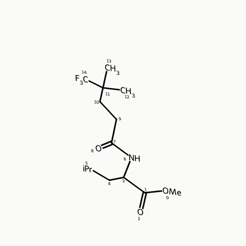 COC(=O)C(CC(C)C)NC(=O)CCC(C)(C)C(F)(F)F